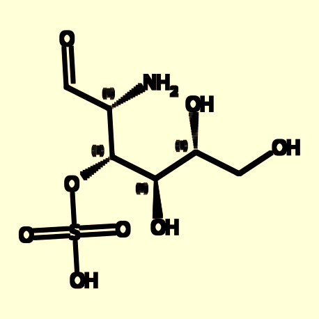 N[C@@H](C=O)[C@@H](OS(=O)(=O)O)[C@H](O)[C@H](O)CO